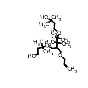 C=CCOCC(COC(C)(C)CCO)C(C)(C)C(C)(C)OCCC(C)(C)O